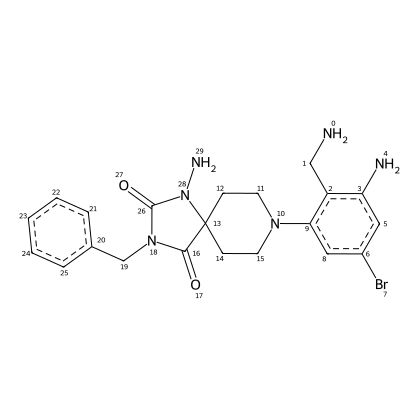 NCc1c(N)cc(Br)cc1N1CCC2(CC1)C(=O)N(Cc1ccccc1)C(=O)N2N